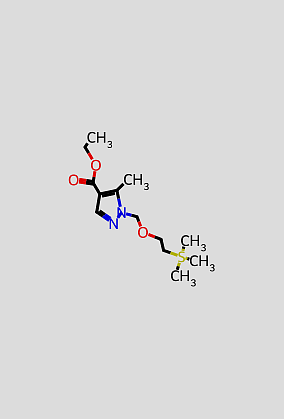 CCOC(=O)c1cnn(COCCS(C)(C)C)c1C